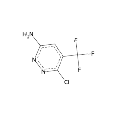 Nc1cc(C(F)(F)F)c(Cl)nn1